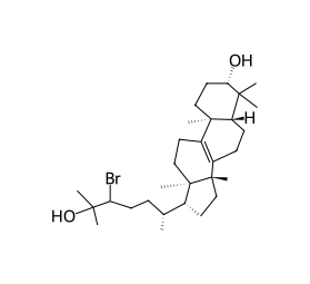 C[C@H](CCC(Br)C(C)(C)O)[C@H]1CC[C@@]2(C)C3=C(CC[C@]12C)[C@@]1(C)CC[C@H](O)C(C)(C)[C@@H]1CC3